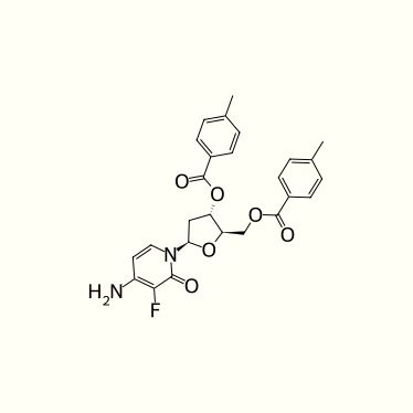 Cc1ccc(C(=O)OC[C@H]2O[C@@H](n3ccc(N)c(F)c3=O)C[C@@H]2OC(=O)c2ccc(C)cc2)cc1